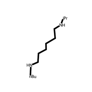 [CH2]CCCNCCCCCCNC(C)C